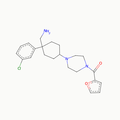 NCC1(c2cccc(Cl)c2)CCC(N2CCN(C(=O)c3ccco3)CC2)CC1